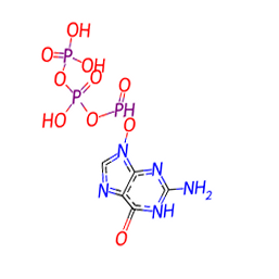 Nc1nc2c(ncn2O[PH](=O)OP(=O)(O)OP(=O)(O)O)c(=O)[nH]1